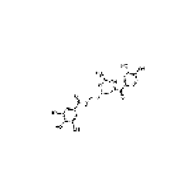 CC(O)OC(CCOC(=O)c1cc(O)c(O)c(O)c1)COC(=O)c1ccc(O)c(O)c1